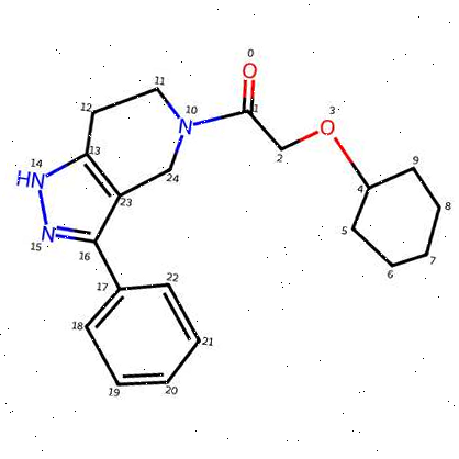 O=C(COC1CCCCC1)N1CCc2[nH]nc(-c3ccccc3)c2C1